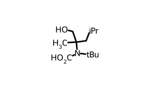 CC(C)CC(C)(CO)N(C(=O)O)C(C)(C)C